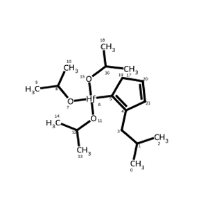 CC(C)CC1=[C]([Hf]([O]C(C)C)([O]C(C)C)[O]C(C)C)CC=C1